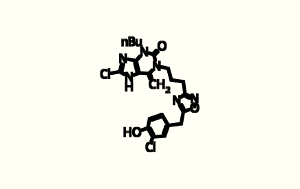 C=C1c2[nH]c(Cl)nc2N(CCCC)C(=O)N1CCCc1noc(Cc2ccc(O)c(Cl)c2)n1